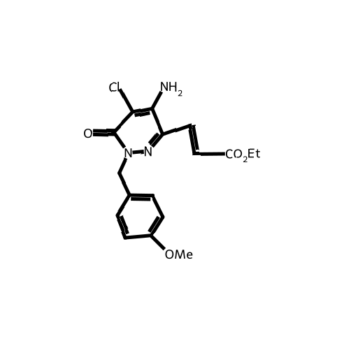 CCOC(=O)/C=C/c1nn(Cc2ccc(OC)cc2)c(=O)c(Cl)c1N